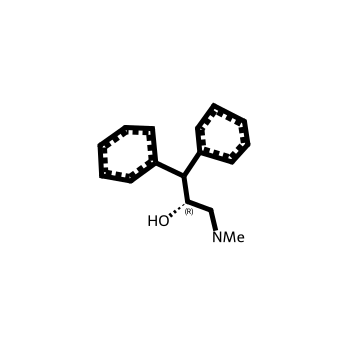 CNC[C@H](O)C(c1ccccc1)c1ccccc1